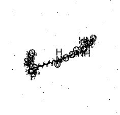 O=C(CCCCCCCCOc1c(-c2csc(N3CCOCC3)n2)ccc(F)c1F)NCCOCCOCC(=O)Nc1ccc(C2CCC(=O)NC2=O)cc1